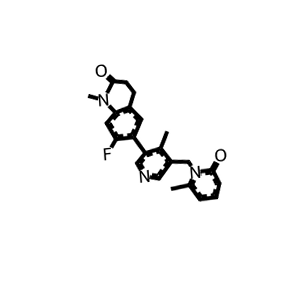 Cc1c(Cn2c(C)cccc2=O)cncc1-c1cc2c(cc1F)N(C)C(=O)CC2